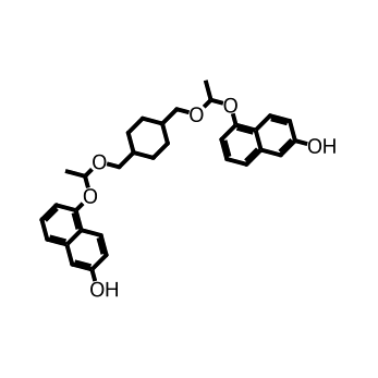 CC(OCC1CCC(COC(C)Oc2cccc3cc(O)ccc23)CC1)Oc1cccc2cc(O)ccc12